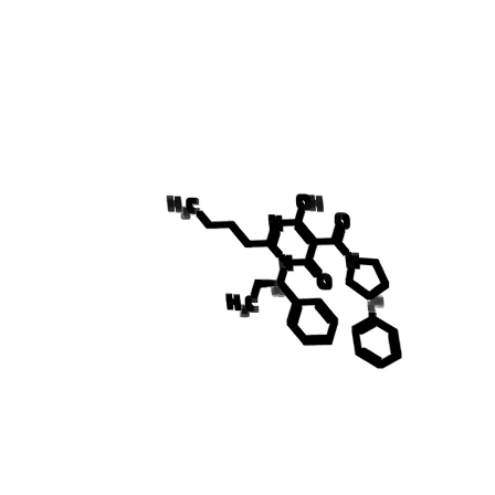 CCCCc1nc(O)c(C(=O)N2CC[C@H](c3ccccc3)C2)c(=O)n1[C@H](CC)c1ccccc1